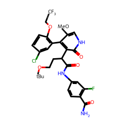 COc1c[nH]c(=O)c(C(CCOC(C)(C)C)C(=O)Nc2ccc(C(N)=O)c(F)c2)c1-c1cc(Cl)ccc1OCC(F)(F)F